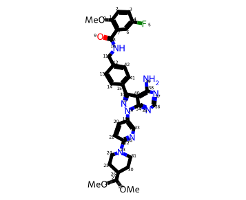 COc1ccc(F)cc1C(=O)NCc1ccc(-c2nn(-c3ccc(N4CCC(C(OC)OC)CC4)nc3)c3ncnc(N)c23)cc1